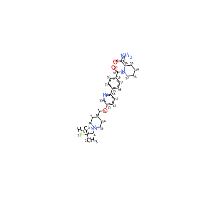 CC(C)(F)CN1CCC(COc2ccc(-c3ccc(C(=O)N4CCCCC4C(N)=O)cc3)nc2)CC1